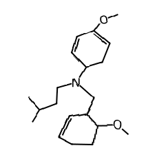 COC1=CCC(N(CCC(C)C)CC2C=CCCC2OC)C=C1